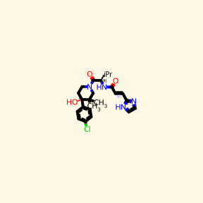 CC(C)[C@@H](NC(=O)/C=C/c1ncc[nH]1)C(=O)N1CC[C@](O)(c2ccc(Cl)cc2)C(C)(C)C1